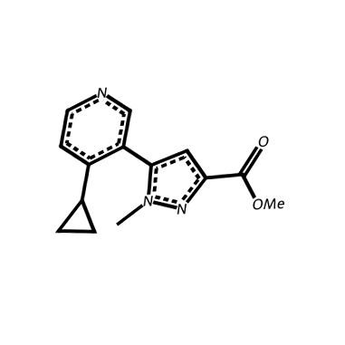 COC(=O)c1cc(-c2cnccc2C2CC2)n(C)n1